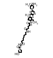 CCc1c(NC(=O)CCCC(=O)NCCCCCCCC(=O)NCC(=O)N2CC[C@@H](O)C2)cccc1Sc1ncc(N2CCC(C)(N)CC2)nc1N